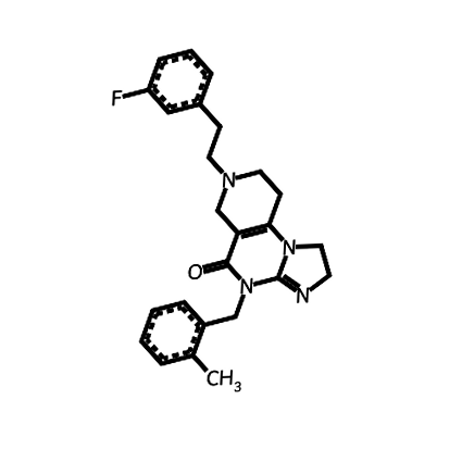 Cc1ccccc1CN1C(=O)C2=C(CCN(CCc3cccc(F)c3)C2)N2CCN=C12